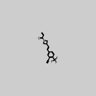 C#Cc1cc(C=CC2CN(C(=O)C=C)C2)ccc1C(F)(F)F